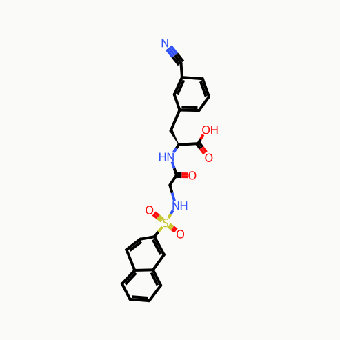 N#Cc1cccc(C[C@H](NC(=O)CNS(=O)(=O)c2ccc3ccccc3c2)C(=O)O)c1